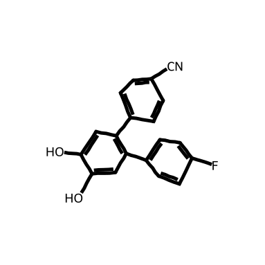 N#Cc1ccc(-c2cc(O)c(O)cc2-c2ccc(F)cc2)cc1